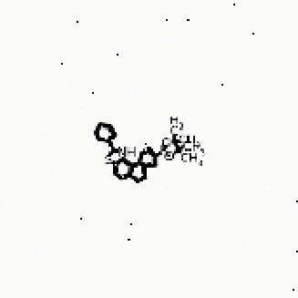 CC1(C)OB(c2ccc3c(ccc4ccc5c(c43)NC(c3ccccc3)S5)c2)OC1(C)C